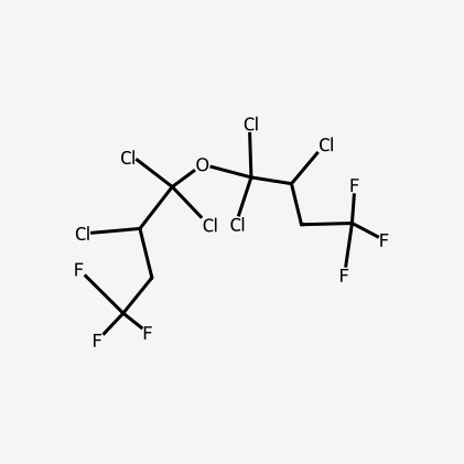 FC(F)(F)CC(Cl)C(Cl)(Cl)OC(Cl)(Cl)C(Cl)CC(F)(F)F